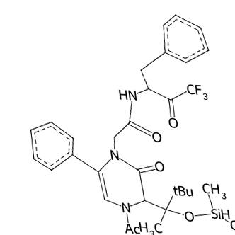 CC(=O)N1C=C(c2ccccc2)N(CC(=O)NC(Cc2ccccc2)C(=O)C(F)(F)F)C(=O)C1C(C)(O[SiH](C)C)C(C)(C)C